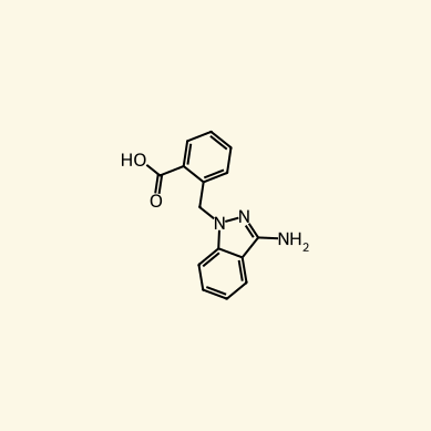 Nc1nn(Cc2ccccc2C(=O)O)c2ccccc12